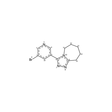 Brc1cncc(-c2nnc3n2CCCCC3)c1